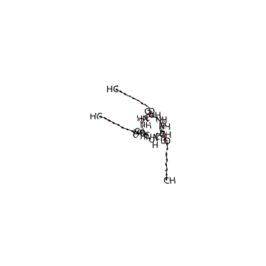 C#CC#CC#CC#CC#CC#CC#CC#CCC(=O)Oc1cc2c(O)c(c1)CNC1CCCCC1NCc1cc(CC(=O)OC#CC#CC#CC#CC#CC#CC#CC#C)cc(c1O)CNC1CCCCC1NCc1cc(CC(=O)OC#CC#CC#CC#CC#CC#CC#CC#C)cc(c1O)CNC1CCCCC1NC2